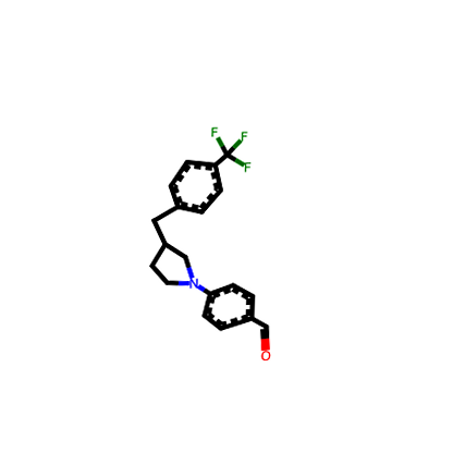 O=Cc1ccc(N2CCC(Cc3ccc(C(F)(F)F)cc3)C2)cc1